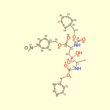 CC(NC(=O)OCc1ccccc1)P(=O)(O)CC(NC(=O)OCc1ccccc1)C(=O)OCc1ccc([N+](=O)[O-])cc1